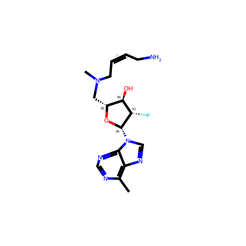 Cc1ncnc2c1ncn2[C@@H]1O[C@H](CN(C)C/C=C\CN)[C@@H](O)[C@@H]1F